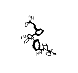 CCOC(=O)NC(=N)c1ccc(N2C(=O)NCC2c2ccccc2CCC(=O)O)cc1